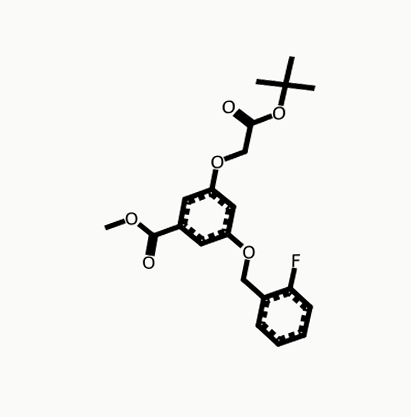 COC(=O)c1cc(OCC(=O)OC(C)(C)C)cc(OCc2ccccc2F)c1